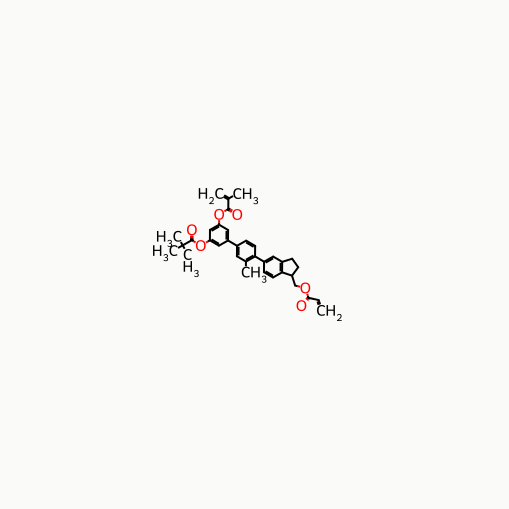 C=CC(=O)OCC1CCc2cc(-c3ccc(-c4cc(OC(=O)C(=C)C)cc(OC(=O)C(C)(C)C)c4)cc3C)ccc21